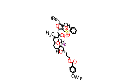 C=C([C@H](C)CC1CC[C@@H]2O[C@@H](CCCOC(=O)c3ccc(OC)cc3)C[C@]2(CI)O1)[C@H](O)C[C@@H]1O[C@H](C[C@H](C)CC)[C@H](C)[C@H]1CS(=O)(=O)c1ccccc1